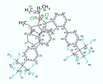 CC1=Cc2c(-c3ccc(C(C(F)(F)F)(C(F)(F)F)C(F)(F)F)cc3)cccc2[CH]1[Zr]([Cl])([Cl])([CH]1C(C2CCCCC2)=Cc2c(-c3ccc(C(C(F)(F)F)(C(F)(F)F)C(F)(F)F)cc3)cccc21)[SiH](C)C